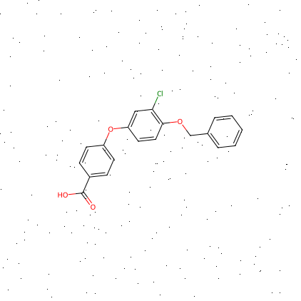 O=C(O)c1ccc(Oc2ccc(OCc3ccccc3)c(Cl)c2)cc1